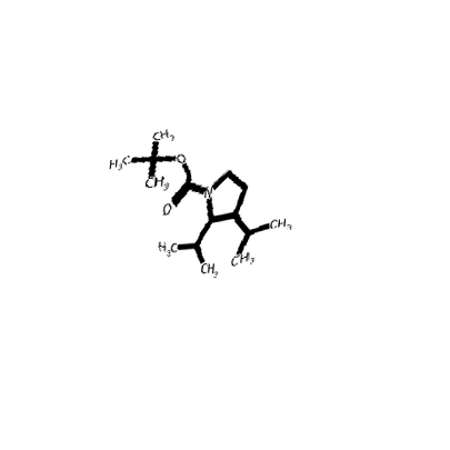 CC(C)C1CCN(C(=O)OC(C)(C)C)C1C(C)C